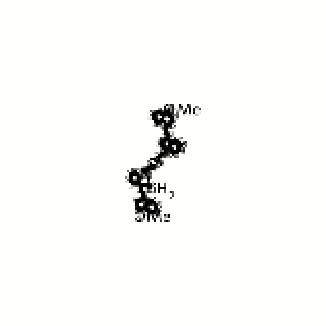 C=CC(/C=C/c1ccc(OC)c2ccccc12)=C1/C=CC=C/C1=N\CCSSCC[n+]1ccc(/C=C/c2ccc(OC)c3ccccc23)c2ccccc21